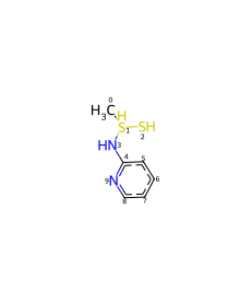 C[SH](S)Nc1ccccn1